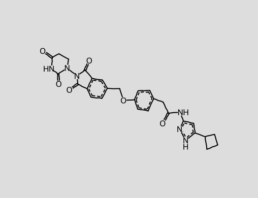 O=C1CCN(N2C(=O)c3ccc(COc4ccc(CC(=O)Nc5cc(C6CCC6)[nH]n5)cc4)cc3C2=O)C(=O)N1